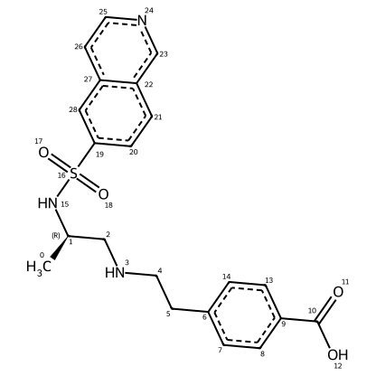 C[C@H](CNCCc1ccc(C(=O)O)cc1)NS(=O)(=O)c1ccc2cnccc2c1